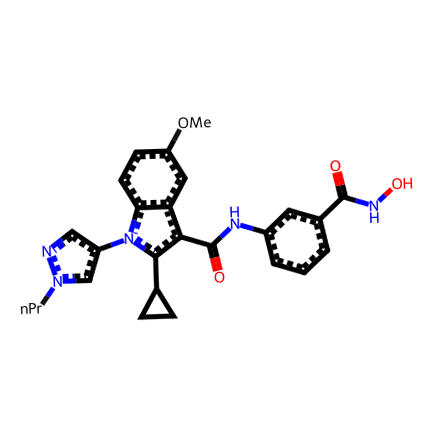 CCCn1cc(-n2c(C3CC3)c(C(=O)Nc3cccc(C(=O)NO)c3)c3cc(OC)ccc32)cn1